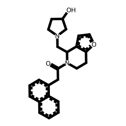 O=C(Cc1cccc2ccccc12)N1CCc2occc2C1CN1CCC(O)C1